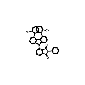 N#Cc1ccccc1-c1cccc2c1c1c(-c3ccccc3C#N)cccc1n2-c1cccc2c1C(=O)N(c1ccccc1)C2=O